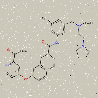 CNC(=O)c1cc(Oc2ccc3c(c2)CC(C(=O)Nc2cc(CN(CCN4CCCC4)C(=O)O)cc(C(F)(F)F)c2)CC3)ccn1